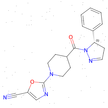 N#Cc1cnc(N2CCC(C(=O)N3N=CC[C@H]3c3ccccc3)CC2)o1